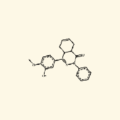 COc1ccc(C2=NN(c3ccccc3)C(=O)C3CC=CCC23)cc1O